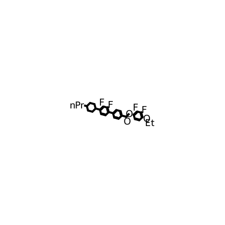 CCCC1CCC(c2ccc(-c3ccc(C(=O)Oc4ccc(OCC)c(F)c4F)cc3)c(F)c2F)CC1